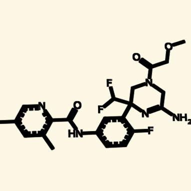 COCC(=O)N1CC(N)=NC(c2cc(NC(=O)c3ncc(Br)cc3C)ccc2F)(C(F)F)C1